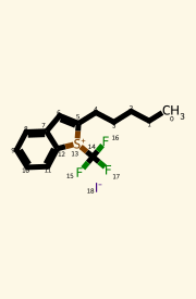 CCCCCc1cc2ccccc2[s+]1C(F)(F)F.[I-]